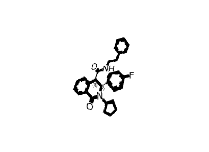 O=C(NCCc1ccccc1)[C@@H]1c2ccccc2C(=O)N(C2CCCC2)[C@H]1c1ccc(F)cc1